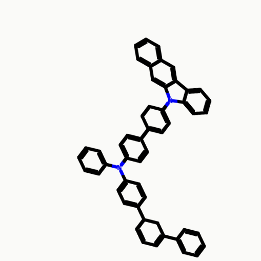 C1=CC(c2ccc(N(c3ccccc3)c3ccc(C4=CC=C(n5c6ccccc6c6cc7ccccc7cc65)CC4)cc3)cc2)CC(c2ccccc2)=C1